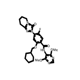 COc1ncnc(OC)c1NC(=O)c1cc(F)c(-n2nc3n(c2=O)CCCC3)cc1OCC1CCCCC1